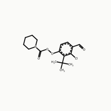 CC(C)(C)c1c(OOC(=O)N2CCCCC2)ccc(C=O)c1Cl